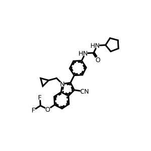 N#Cc1c(-c2ccc(NC(=O)NC3CCCC3)cc2)n(CC2CC2)c2cc(OC(F)F)ccc12